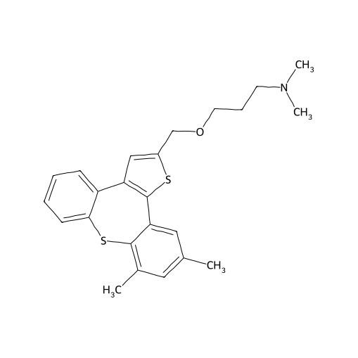 Cc1cc(C)c2c(c1)-c1sc(COCCCN(C)C)cc1-c1ccccc1S2